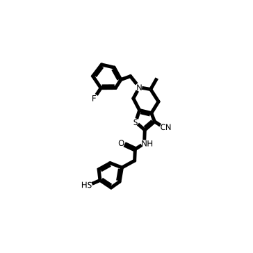 CC1Cc2c(sc(NC(=O)Cc3ccc(S)cc3)c2C#N)CN1Cc1cccc(F)c1